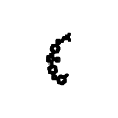 Cc1cccc(Oc2ccc(-n3ccn(-c4ccc(OCCN(C)C)cc4)c3=O)cc2)c1